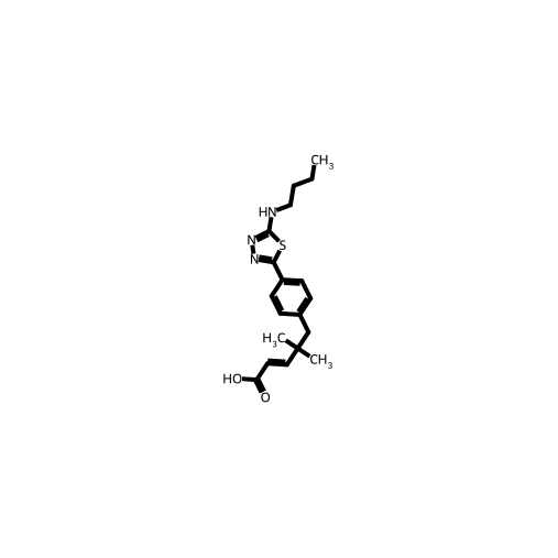 CCCCNc1nnc(-c2ccc(CC(C)(C)C=CC(=O)O)cc2)s1